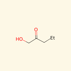 CCCC(=O)CO